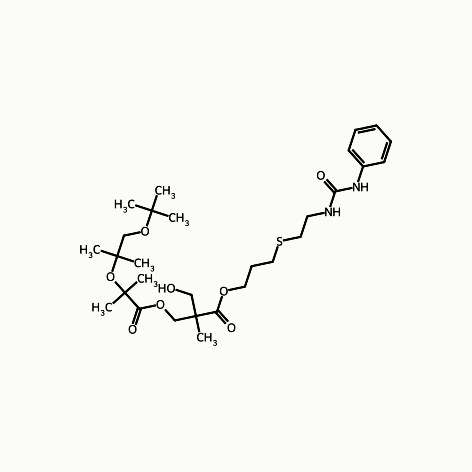 CC(C)(C)OCC(C)(C)OC(C)(C)C(=O)OCC(C)(CO)C(=O)OCCCSCCNC(=O)Nc1ccccc1